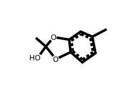 Cc1ccc2c(c1)OC(C)(O)O2